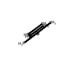 CCCCCCCCCCCCCCCCCC(=O)O.CCCCCCCCCCCCCCCCCC(=O)O.CCCCCCCCCCCCCCCCCC(=O)OCCCCCCCCCCCCCCCC